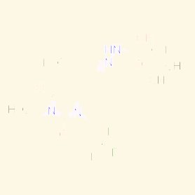 CCn1c(=O)c2c(C)c(/C=N/NC(O)OC(C)(C)C)sc2n(CCC(F)(F)F)c1=O